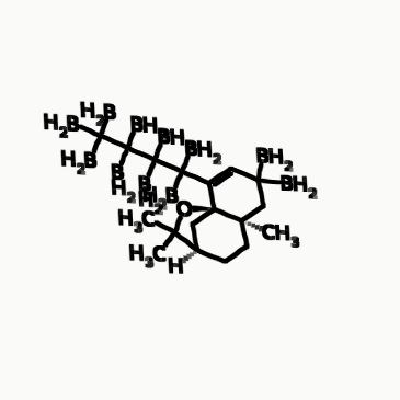 BC1(B)C=C(C(B)(B)C(B)(B)C(B)(B)C(B)(B)B)[C@@]23C[C@@H](CC[C@]2(C)C1)C(C)(C)O3